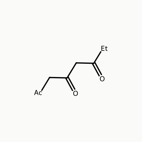 CCC(=O)CC(=O)CC(C)=O